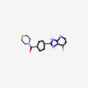 O=C(c1ccc(-c2nc3c(Cl)ccnc3[nH]2)cc1)N1CCOCC1